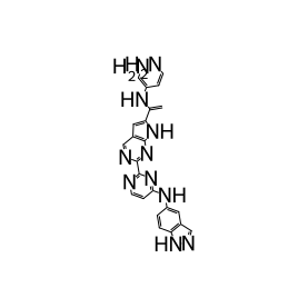 C=C(NC(/C=C\N)=C/N)c1cc2cnc(-c3nccc(Nc4ccc5[nH]ncc5c4)n3)nc2[nH]1